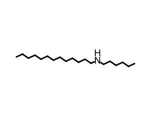 CCCCCCCCCCCCCNCCCCCC